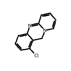 Clc1cccc2c1CN1C=CC=CC1=N2